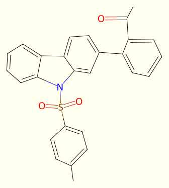 CC(=O)c1ccccc1-c1ccc2c3ccccc3n(S(=O)(=O)c3ccc(C)cc3)c2c1